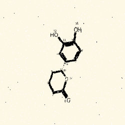 O=C1CCC[C@H](c2ccc(O)c(O)c2)O1